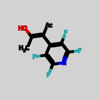 CC(=O)/C(=C(/C)O)c1c(F)c(F)nc(F)c1F